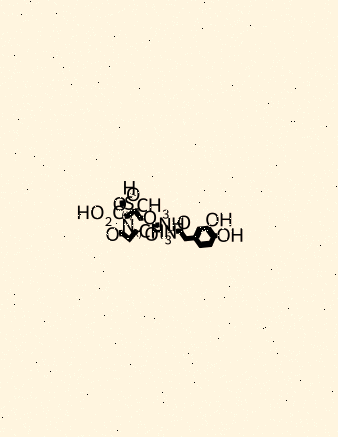 C[C@@H]1CC(=O)N1[C@@H](C(=O)O)[C@](C)(COC(=O)NNC(=O)Cc1ccc(O)c(O)c1)[SH](=O)=O